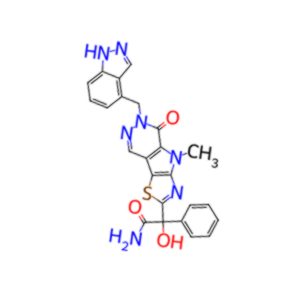 Cn1c2nc(C(O)(C(N)=O)c3ccccc3)sc2c2cnn(Cc3cccc4[nH]ncc34)c(=O)c21